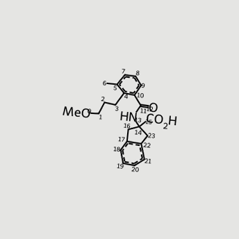 COCCCc1c(C)cccc1C(=O)NC1(C(=O)O)Cc2ccccc2C1